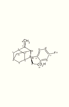 C=C1C2CC3CC(C2)[C@@](CC(=O)O)(c2ccc(F)cc2)C1C3